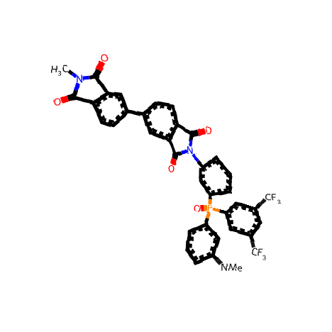 CNc1cccc(P(=O)(c2cccc(N3C(=O)c4ccc(-c5ccc6c(c5)C(=O)N(C)C6=O)cc4C3=O)c2)c2cc(C(F)(F)F)cc(C(F)(F)F)c2)c1